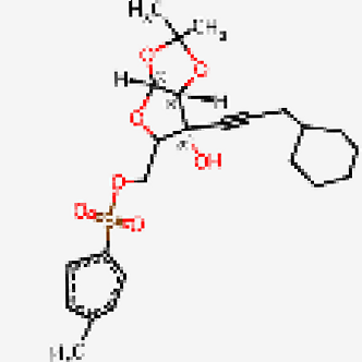 Cc1ccc(S(=O)(=O)OCC2O[C@@H]3OC(C)(C)O[C@@H]3[C@@]2(O)C#CCC2CCCCC2)cc1